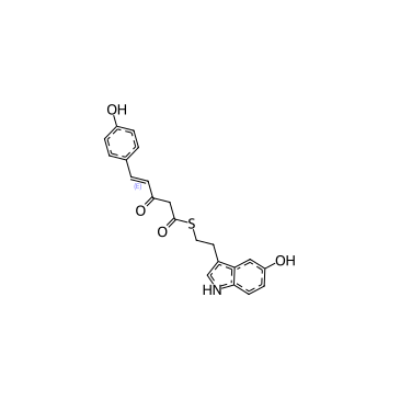 O=C(/C=C/c1ccc(O)cc1)CC(=O)SCCc1c[nH]c2ccc(O)cc12